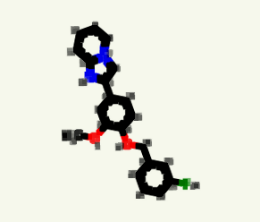 COc1cc(-c2cn3ccccc3n2)ccc1OCc1cccc(F)c1